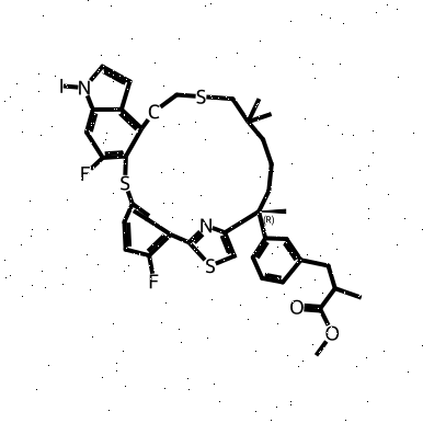 COC(=O)C(C)Cc1cccc([C@@]2(C)CCCC(C)(C)CSCCc3c(c(F)cc4c3ccn4I)Sc3ccc(F)c(c3)-c3nc2cs3)c1